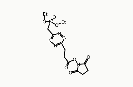 CCOP(=O)(Cc1nnc(CCC(=O)ON2C(=O)CCC2=O)nn1)OCC